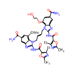 CCc1nc(C)oc1C(=O)Nc1nc2cc(C(N)=O)cc(OC)c2n1C/C=C/Cn1c(NC(=O)c2oc(C)nc2CC)nc2cc(C(N)=O)cc(OCCO)c21